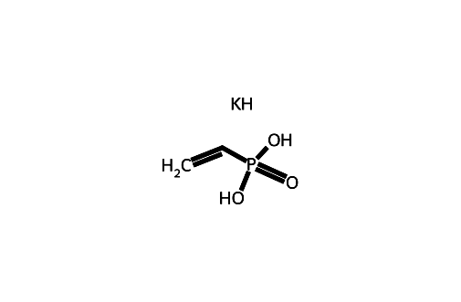 C=CP(=O)(O)O.[KH]